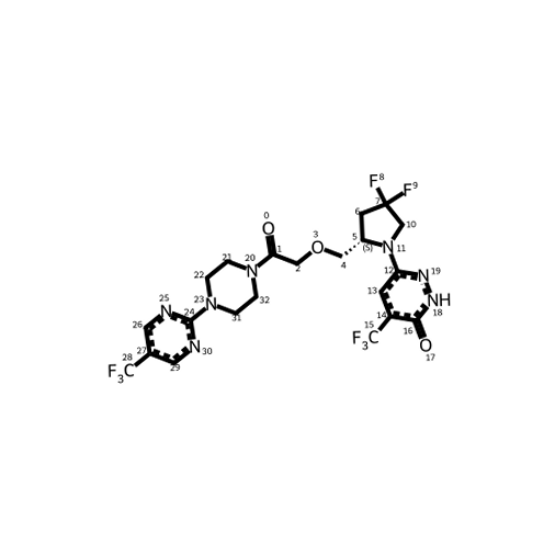 O=C(COC[C@@H]1CC(F)(F)CN1c1cc(C(F)(F)F)c(=O)[nH]n1)N1CCN(c2ncc(C(F)(F)F)cn2)CC1